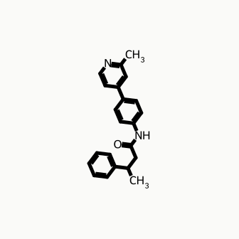 Cc1cc(-c2ccc(NC(=O)CC(C)c3ccccc3)cc2)ccn1